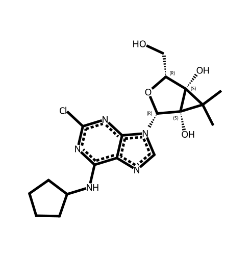 CC1(C)[C@]2(O)[C@@H](CO)O[C@@H](n3cnc4c(NC5CCCC5)nc(Cl)nc43)[C@]12O